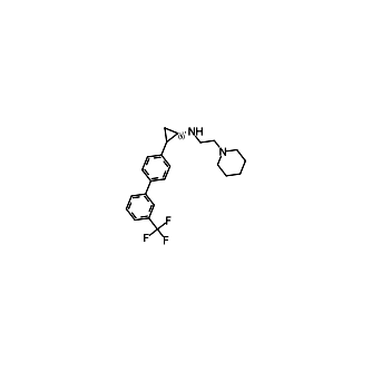 FC(F)(F)c1cccc(-c2ccc(C3C[C@@H]3NCCN3CCCCC3)cc2)c1